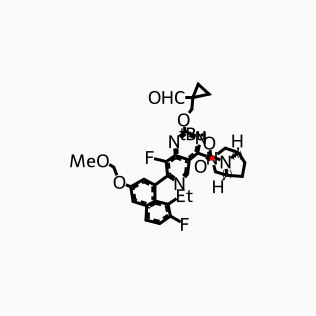 CCc1c(F)ccc2cc(OCOC)cc(-c3ncc4c(N5C[C@H]6CC[C@@H](C5)N6C(=O)OC(C)(C)C)nc(OCC5(C=O)CC5)nc4c3F)c12